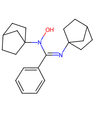 ON(C(=NC12CCC(CC1)C2)c1ccccc1)C12CCC(CC1)C2